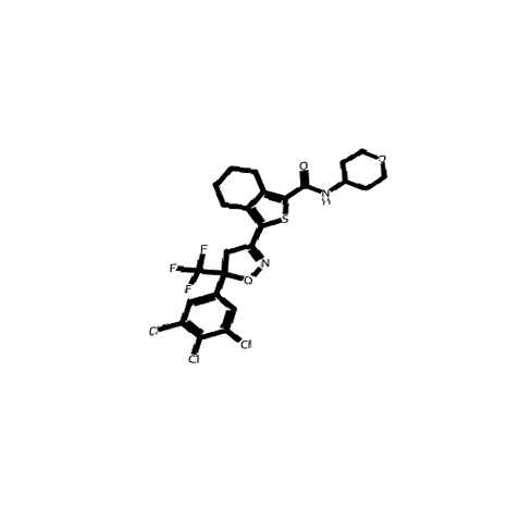 O=C(NC1CCOCC1)c1sc(C2=NOC(c3cc(Cl)c(Cl)c(Cl)c3)(C(F)(F)F)C2)c2c1CCCC2